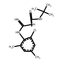 Cc1cc(C)c(NC(=N)NC(=O)NC(C)(C)C)c(Cl)c1